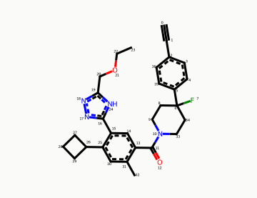 C#Cc1ccc(C2(F)CCN(C(=O)c3cc(-c4nnc(COCC)[nH]4)c(C4CCC4)cc3C)CC2)cc1